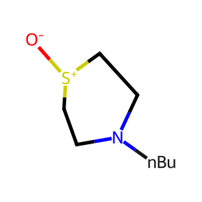 CCCCN1CC[S+]([O-])CC1